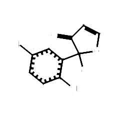 CC1(c2cc(Cl)ccc2Cl)OC=CC1=O